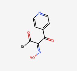 CCC(=O)/C(=N\O)C(=O)c1ccncc1